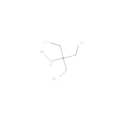 [3H]NC(CO)(CO)CO